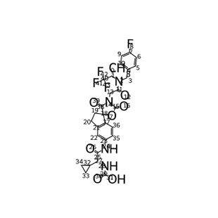 C[C@H](N(Cc1ccc(F)cc1)C(=O)CN1C(=O)OC2(CCc3cc(NC(=O)[C@H](NC(=O)O)C4CC4)ccc32)C1=O)C(F)(F)F